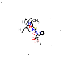 C#C[C@@H](CC)CC(=O)N(C)[C@H](CCc1nc(C(=O)N[C@@H](Cc2ccccc2)C[C@H](C)C(=O)O)cs1)C(C)C